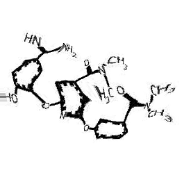 CN(C)C(=O)c1cccc(Oc2cc(C(=O)N(C)C)cc(Oc3cc(C(=N)N)ccc3O)n2)c1